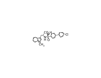 Cn1cc(CC(NS(=O)(=O)c2ccc(-c3ccc(Cl)cc3)cc2)C(=O)O)c2ccccc21